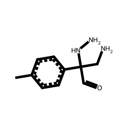 Cc1ccc(C(C=O)(CN)NN)cc1